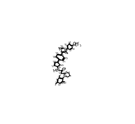 Cc1cc(C)c(N2CCCSC2CC(=O)NC2CCC(c3ccc(-c4ncn(-c5ccc(OC(F)(F)F)cc5)n4)cc3)C2)c(C)c1